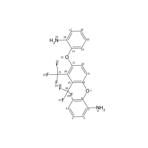 Nc1ccccc1Oc1ccc(Oc2ccccc2N)c(C(F)(F)F)c1C(F)(F)F